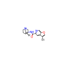 CCc1coc2cnc(C(=O)N[C@H]3CN4CCC3CC4)cc12